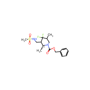 CC1CN(C(=O)OCc2ccccc2)[C@@H](C)C(CNS(C)(=O)=O)C1(F)F